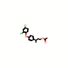 CC(=O)OCCC(C)c1ccc(Oc2ccc(Cl)cc2F)cc1